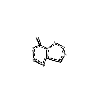 O=c1nnnc2cnnnn12